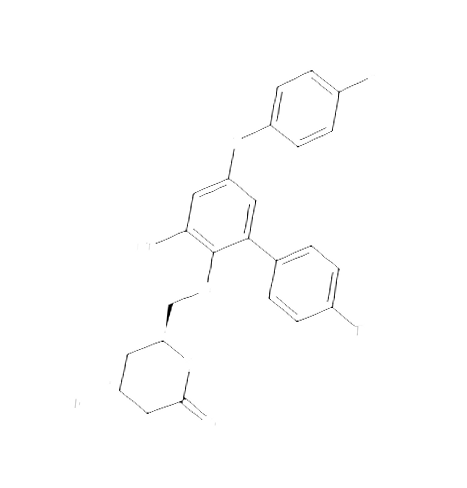 CC(C)c1cc(Sc2ccc(F)cc2)cc(-c2ccc(F)cc2)c1OC[C@@H]1C[C@@H](O)CC(=O)O1